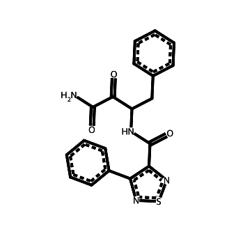 NC(=O)C(=O)C(Cc1ccccc1)NC(=O)c1nsnc1-c1ccccc1